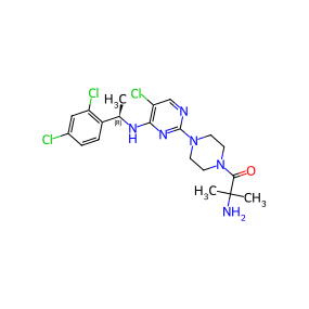 C[C@@H](Nc1nc(N2CCN(C(=O)C(C)(C)N)CC2)ncc1Cl)c1ccc(Cl)cc1Cl